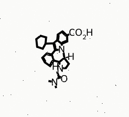 CN(C)C(=O)CN1CC[C@H]2Cn3c(c(C4CCCCC4)c4ccc(C(=O)O)cc43)-c3ccccc3[C@@H]21